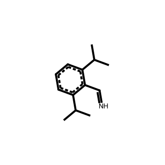 CC(C)c1cccc(C(C)C)c1C=N